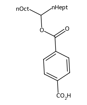 CCCCCCCCC(CCCCCCC)OC(=O)c1ccc(C(=O)O)cc1